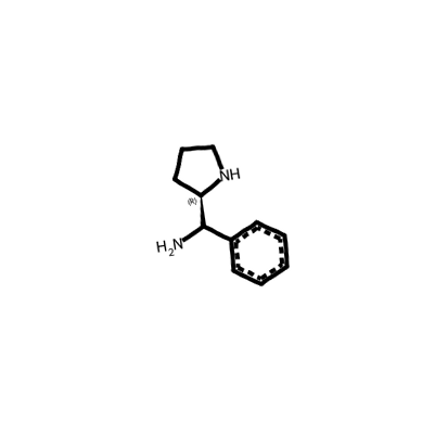 NC(c1ccccc1)[C@H]1CCCN1